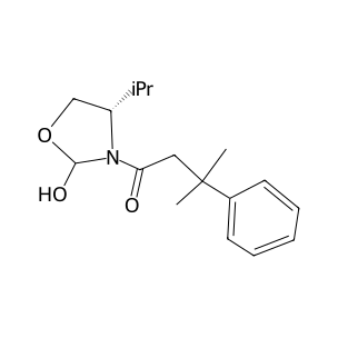 CC(C)[C@H]1COC(O)N1C(=O)CC(C)(C)c1ccccc1